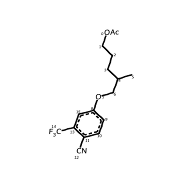 CC(=O)OCCCC(C)COc1ccc(C#N)c(C(F)(F)F)c1